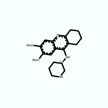 COc1cc2nc3c(c(N[C@@H]4CCCNC4)c2cc1OC)CCCC3